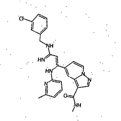 CNC(=O)c1cnn2ccc(/C(=C/C(=N)NCc3cccc(Cl)c3)Nc3cccc(C)n3)cc12